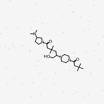 CN(C)C1CCN(C(=O)CC(C)(C)CC(CO)N2CCN(C(=O)CC(C)(C)C)CC2)C1